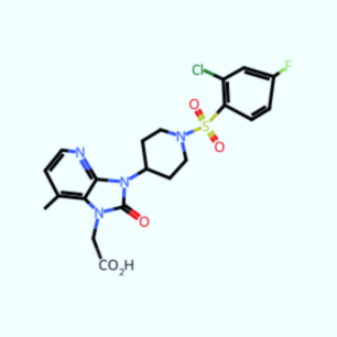 Cc1ccnc2c1n(CC(=O)O)c(=O)n2C1CCN(S(=O)(=O)c2ccc(F)cc2Cl)CC1